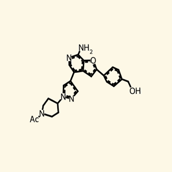 CC(=O)N1CCC(n2cc(-c3cnc(N)c4oc(-c5ccc(CO)cc5)cc34)cn2)CC1